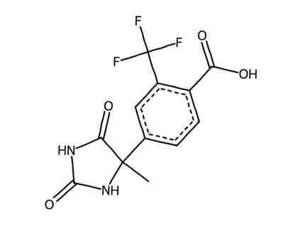 CC1(c2ccc(C(=O)O)c(C(F)(F)F)c2)NC(=O)NC1=O